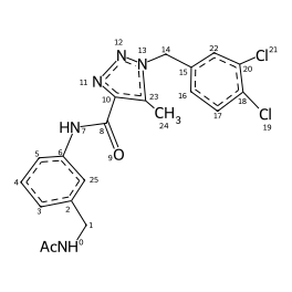 CC(=O)NCc1cccc(NC(=O)c2nnn(Cc3ccc(Cl)c(Cl)c3)c2C)c1